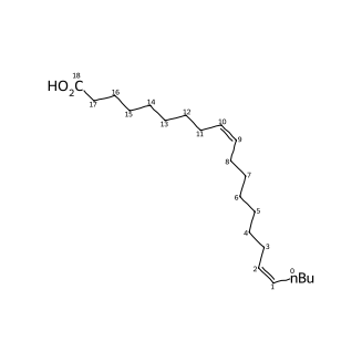 CCCC/C=C\CCCCCC/C=C\CCCCCCCC(=O)O